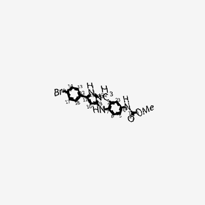 COC(=O)Nc1ccc(Nc2cc(-c3ccc(Br)cc3)[nH]n2)c(C)c1